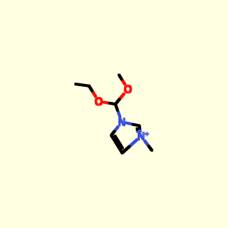 CCOC(OC)n1cc[n+](C)c1